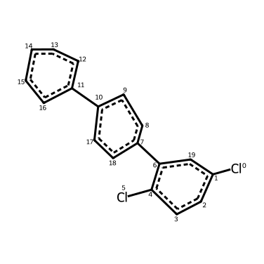 Clc1ccc(Cl)c(-c2ccc(-c3ccccc3)cc2)c1